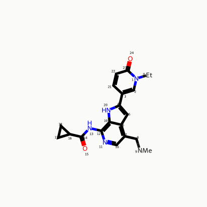 CCn1cc(-c2cc3c(CNC)cnc(NC(=O)C4CC4)c3[nH]2)ccc1=O